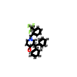 O=C1CCN(Cc2ccccc2C(F)(F)F)CC1C(c1ccccc1)c1ccccc1